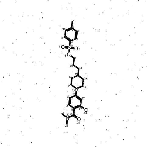 Cc1ccc(S(=O)(=O)OCCCC2CCN(c3ccc(C(=O)N(C)C)c(Cl)c3)CC2)cc1